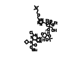 CCOP(=O)(OCC)C(CO)(CCc1nnn(COCC[Si](C)(C)C)n1)OC[C@H]1O[C@@H](n2ncc3c(N(C(=O)OC(C)(C)C)C4CCC4)nc(Cl)nc32)[C@@H]2OC(C)(C)O[C@@H]21